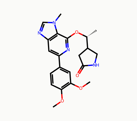 COc1ccc(-c2cc3ncn(C)c3c(O[C@H](C)C3CNC(=O)C3)n2)cc1OC